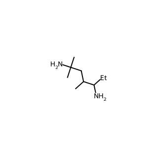 CCC(N)C(C)CC(C)(C)N